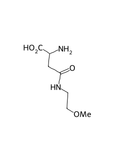 COCCNC(=O)CC(N)C(=O)O